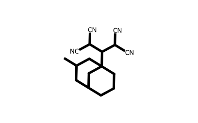 CC1CC2CCCC(C(C(C#N)C#N)C(C#N)C#N)(C1)C2